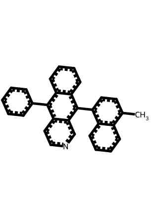 Cc1ccc(-c2c3ccccc3c(-c3ccccc3)c3ccncc23)c2ccccc12